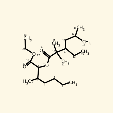 CCCCC(C)C(OC(=O)C(C)(C)C(CC)CC(C)C)C(=O)OCC